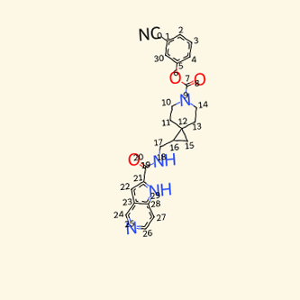 N#Cc1cccc(OC(=O)N2CCC3(CC2)CC3CNC(=O)c2cc3cnccc3[nH]2)c1